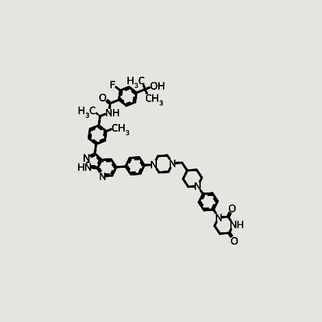 Cc1cc(-c2n[nH]c3ncc(-c4ccc(N5CCN(CC6CCN(c7ccc(N8CCC(=O)NC8=O)cc7)CC6)CC5)cc4)cc23)ccc1[C@@H](C)NC(=O)c1ccc(C(C)(C)O)cc1F